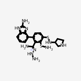 NN/N=C(\N)c1c(-c2cccc3[nH]c(N)nc23)ccc(SNC2CCNC2)c1SN